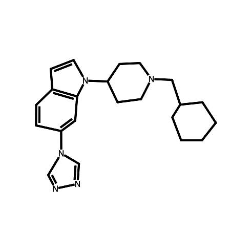 c1cc2ccn(C3CCN(CC4CCCCC4)CC3)c2cc1-n1cnnc1